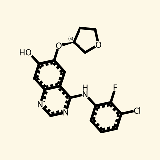 Oc1cc2ncnc(Nc3cccc(Cl)c3F)c2cc1O[C@H]1CCOC1